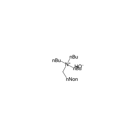 CCCCCCCCCC[N+](CCCC)(CCCC)CCCC.[OH-]